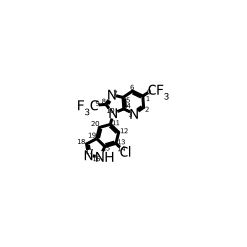 FC(F)(F)c1cnc2c(c1)nc(C(F)(F)F)n2-c1cc(Cl)c2[nH]ncc2c1